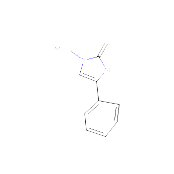 COn1cc(-c2ccccc2)[nH]c1=S